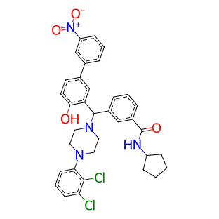 O=C(NC1CCCC1)c1cccc(C(c2cc(-c3cccc([N+](=O)[O-])c3)ccc2O)N2CCN(c3cccc(Cl)c3Cl)CC2)c1